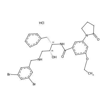 CCOc1cc(C(=O)N[C@@H](Cc2ccccc2)[C@H](O)CNCc2cc(Br)cc(Br)c2)cc(N2CCCC2=O)c1.Cl